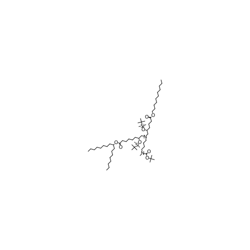 CCCCCCCCCCCOC(=O)CCCC(CN(CCCCN(C)C(=O)OC(C)(C)C)CC(CCCCCC(=O)OC(CCCCCCCC)CCCCCCCC)O[Si](C)(C)C(C)(C)C)O[Si](C)(C)C(C)(C)C